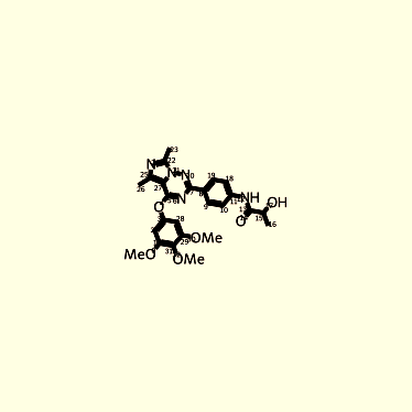 COc1cc(Oc2nc(-c3ccc(NC(=O)C(C)O)cc3)nn3c(C)nc(C)c23)cc(OC)c1OC